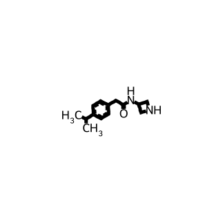 CC(C)c1ccc(CC(=O)NC2CNC2)cc1